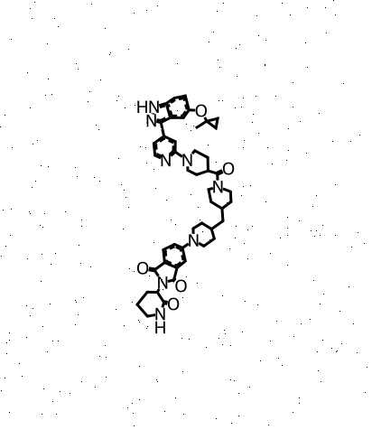 CC1(Oc2ccc3[nH]nc(-c4ccnc(N5CCC(C(=O)N6CCC(CC7CCN(c8ccc9c(c8)C(=O)N(C8CCCNC8=O)C9=O)CC7)CC6)CC5)c4)c3c2)CC1